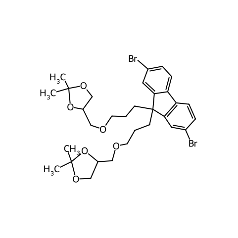 CC1(C)OCC(COCCCC2(CCCOCC3COC(C)(C)O3)c3cc(Br)ccc3-c3ccc(Br)cc32)O1